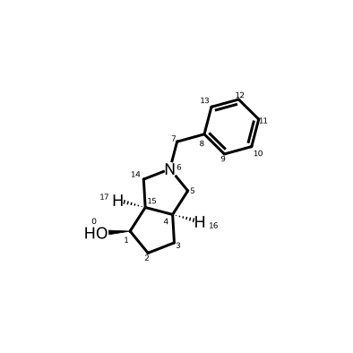 O[C@@H]1CC[C@@H]2CN(Cc3ccccc3)C[C@@H]21